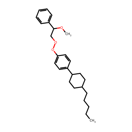 CCCCCC1CCC(c2ccc(OOCC(OC)c3ccccc3)cc2)CC1